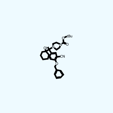 CC(C)(C)OC(=O)N1CCN(C(C)(c2ccc(OCc3ccccc3)c(C#N)c2)C2(O)CCCCC2)CC1